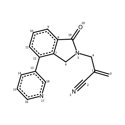 C=C(C#N)CN1Cc2c(cccc2-c2cccnc2)C1=O